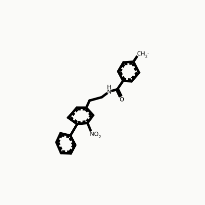 [CH2]c1ccc(C(=O)NCCc2ccc(-c3ccccc3)c([N+](=O)[O-])c2)cc1